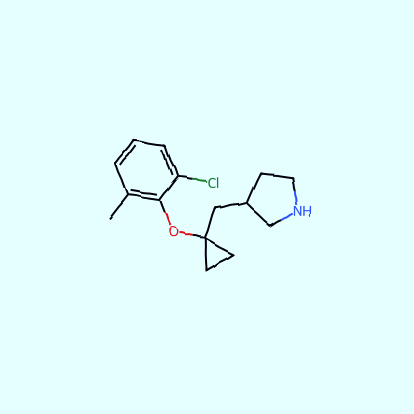 Cc1cccc(Cl)c1OC1(CC2CCNC2)CC1